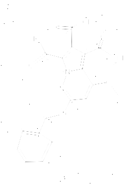 COc1cc(OCc2ccccc2)nn2c(C(=O)O)c(C(=O)O)c(C(=O)O)c12